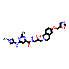 CC(=O)N1CC(Nc2cc(C(=O)NC[C@H](O)CN3CCc4cc(OCc5cnco5)ccc4C3)nc(C(C)C)n2)C1